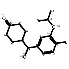 Cc1ccc(C(O)C2CCC(=O)CC2)cc1OC(C)C